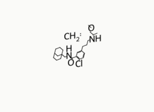 COCC(C)NCCCc1ccc(Cl)c(C(=O)NCC23CCCC(CCC2)C3)c1.[CH2]